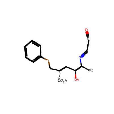 CCC(/N=C/B=O)[C@@H](O)C[C@@H](CSc1ccccc1)C(=O)O